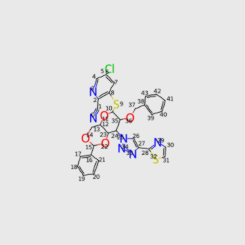 N#Cc1ncc(Cl)cc1SC1OC2COC(c3ccccc3)OC2C(n2cc(-c3nccs3)nn2)C1OCc1ccccc1